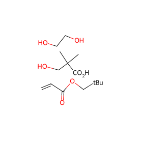 C=CC(=O)OCC(C)(C)C.CC(C)(CO)C(=O)O.OCCO